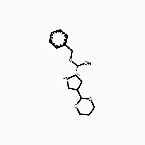 OC(OCc1ccccc1)[C@@H]1CC(C2OCCCO2)CN1